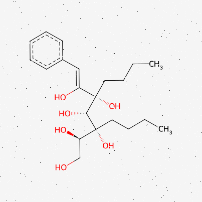 CCCC[C@@](O)([C@H](O)CO)[C@H](O)[C@](O)(CCCC)C(O)=Cc1ccccc1